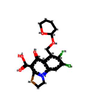 O=C(O)c1c2n(c3cc(Cl)c(F)c(COC4CCCCO4)c3c1=O)CCS2